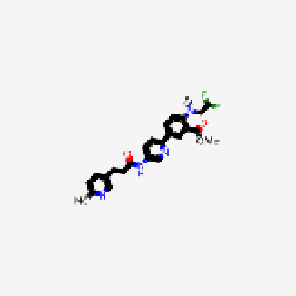 COC(=O)c1cc(-c2ccc(NC(=O)CCc3ccc(C#N)nc3)cn2)ccc1N(CC(F)F)C(C)=O